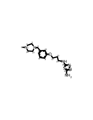 CN1CCN(Cc2cccc(OCCCNc3nnc(N)s3)c2)CC1